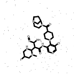 CN1CC(F)CNC1C(C(=O)Nc1cncc(Cl)c1N1CCC(C(=O)N2CCN3CCC2C3)CC1)C(N)N=O